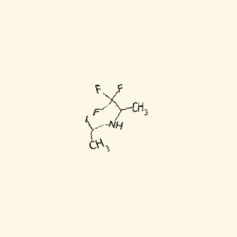 CC(I)NC(C)C(F)(F)F